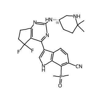 CC1(C)CC[C@H](Nc2nc3c(c(-c4c[nH]c5c(P(C)(C)=O)c(C#N)ccc45)n2)C(F)(F)CC3)CN1